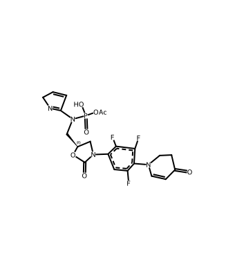 CC(=O)OP(=O)(O)N(C[C@H]1CN(c2cc(F)c(N3C=CC(=O)CC3)c(F)c2F)C(=O)O1)C1=NCC=C1